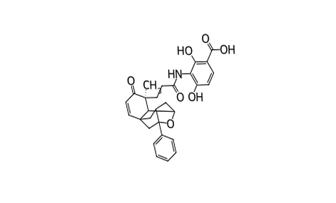 C[C@@]1(CCC(=O)Nc2c(O)ccc(C(=O)O)c2O)C(=O)C=CC23CC4CC(OC4(c4ccccc4)C2)C31